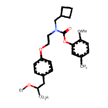 CCOC(Cc1ccc(OCCN(CC2CCC2)C(=O)Oc2cc(C)ccc2OC)cc1)C(=O)O